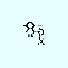 Cc1cccc(C(N)C2=NCCN2CC(F)(F)F)c1C.Cl